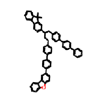 CC1(C)c2ccccc2-c2ccc(C(CCc3ccc(-c4ccc(-c5ccc6oc7ccccc7c6c5)cc4)cc3)Cc3ccc(-c4ccc(-c5ccccc5)cc4)cc3)cc21